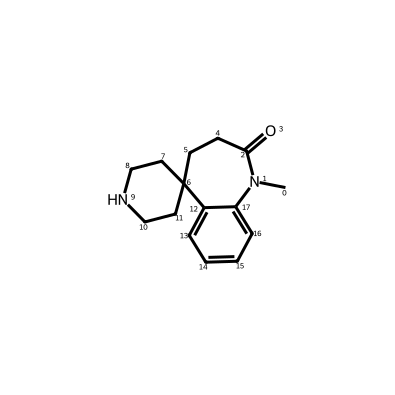 CN1C(=O)CCC2(CCNCC2)c2ccccc21